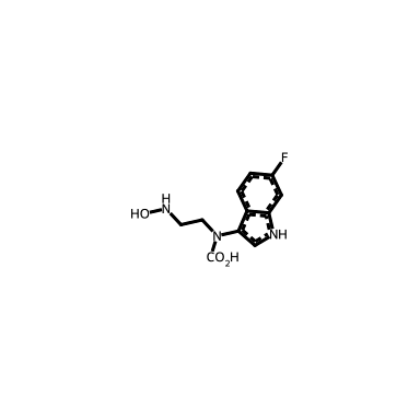 O=C(O)N(CCNO)c1c[nH]c2cc(F)ccc12